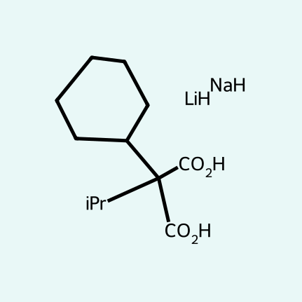 CC(C)C(C(=O)O)(C(=O)O)C1CCCCC1.[LiH].[NaH]